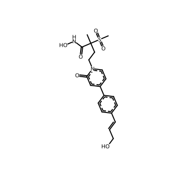 CC(CCn1ccc(-c2ccc(C=CCO)cc2)cc1=O)(C(=O)NO)S(C)(=O)=O